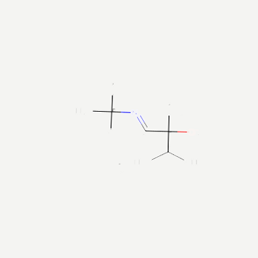 CC(C)C(C)([O-])/C=N/C(C)(C)C.[K+]